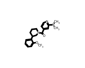 CN(C)c1cc(C(=O)N2CCCC(c3ccccc3OC(F)(F)F)C2)ccn1